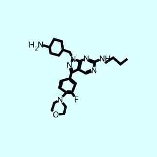 CCCCNc1ncc2c(-c3ccc(N4CCOCC4)c(F)c3)nn(CC3CCC(N)CC3)c2n1